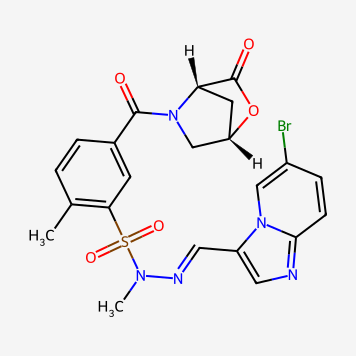 Cc1ccc(C(=O)N2C[C@@H]3C[C@H]2C(=O)O3)cc1S(=O)(=O)N(C)/N=C/c1cnc2ccc(Br)cn12